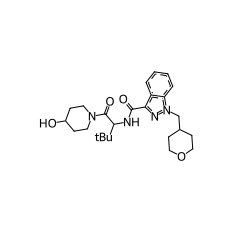 CC(C)(C)C(NC(=O)c1nn(CC2CCOCC2)c2ccccc12)C(=O)N1CCC(O)CC1